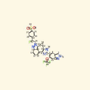 Cn1cc2cc(-c3nc(-c4cccc5nn(CC(F)c6ccc(S(C)(=O)=O)cc6)cc45)c(C4CC4)n3C)c(OC(F)(F)F)cc2n1